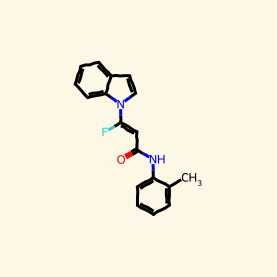 Cc1ccccc1NC(=O)/C=C(\F)n1ccc2ccccc21